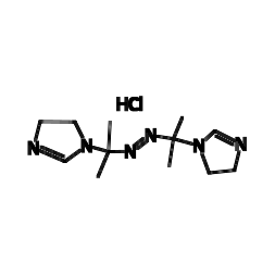 CC(C)(N=NC(C)(C)N1C=NCC1)N1C=NCC1.Cl